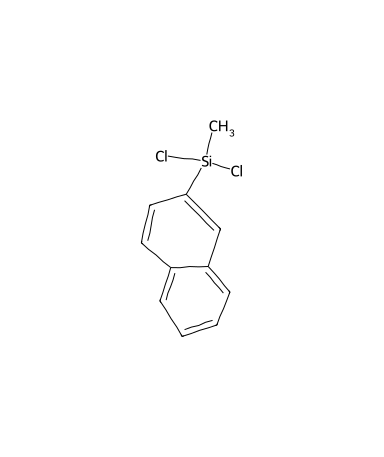 C[Si](Cl)(Cl)c1ccc2ccccc2c1